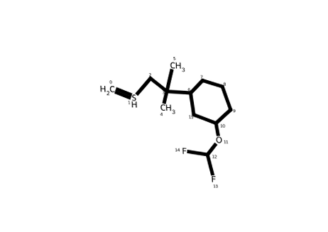 C=[SH]CC(C)(C)C1CCCC(OC(F)F)C1